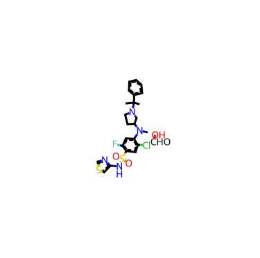 CN(c1cc(F)c(S(=O)(=O)Nc2cscn2)cc1Cl)C1CCN(C(C)(C)c2ccccc2)C1.O=CO